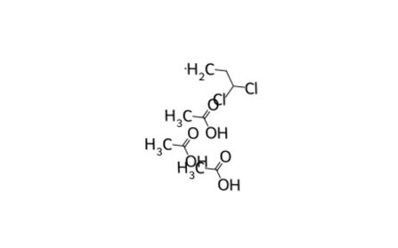 CC(=O)O.CC(=O)O.CC(=O)O.[CH2]CC(Cl)Cl